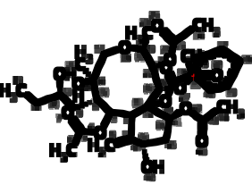 C=C1C2C(OC(C)=O)[C@H](C[C@H](O)CC)[C@@](C)(O)CO[C@@H](C)[C@H](OC(C)=O)[C@H](OC(C)=O)[C@]2(OC(=O)c2ccccc2)[C@@H](OC(C)=O)C[C@@H]1O